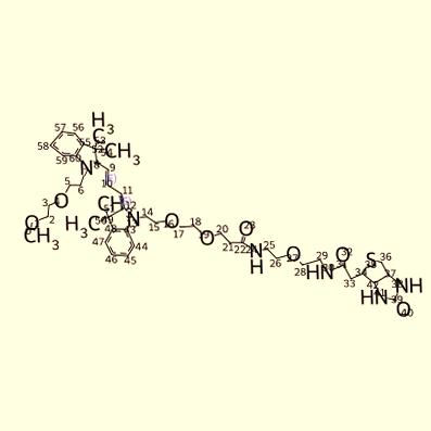 COCCOCC[N+]1=C(/C=C/C=C2/N(CCOCCOCCC(=O)NCCOCCNC(=O)CC3SCC4NC(=O)NC43)c3ccccc3C2(C)C)C(C)(C)c2ccccc21